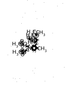 Cc1ccc(N(CCOS(C)(=O)=O)CCOS(C)(=O)=O)cc1C[C@@H](CC(=O)OC(C)(C)C)NBC=O